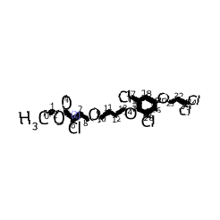 CCOC(=O)/C(Cl)=C/COCCCCOc1c(Cl)cc(OCC=C(Cl)Cl)cc1Cl